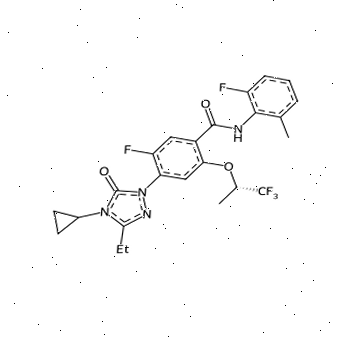 CCc1nn(-c2cc(O[C@@H](C)C(F)(F)F)c(C(=O)Nc3c(C)cccc3F)cc2F)c(=O)n1C1CC1